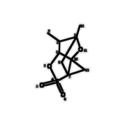 CC1C2OS(=O)(=O)C34CC1(C)OC23C4